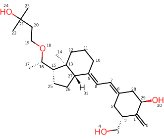 C=C1[C@H](CO)C/C(=C\C=C2/CCC[C@]3(C)[C@@H]([C@H](C)OCCC(C)(C)O)CC[C@@H]23)C[C@H]1O